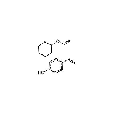 C=COC1CCCCC1.C=Cc1ccc(O)cc1